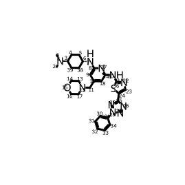 CN(C)[C@H]1CC[C@H](Nc2cc(CN3CCOCC3)cc(Nc3ncc(-c4nnn(-c5ccccc5)n4)s3)n2)CC1